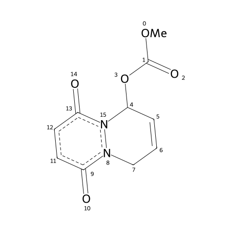 COC(=O)OC1C=CCn2c(=O)ccc(=O)n21